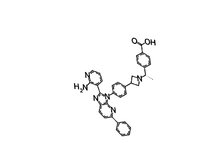 C[C@@H](c1ccc(C(=O)O)cc1)N1CC(c2ccc(-n3c(-c4cccnc4N)nc4ccc(-c5ccccc5)nc43)cc2)C1